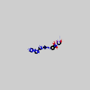 CN1CCN(c2ccnc(-c3cnn([C@H]4C[C@H](CNc5ccc6c(c5)C(=O)N(C5CCC(=O)NC5=O)C6=O)C4)c3)n2)CC1